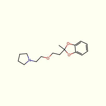 CC1(CCOCCN2CCCC2)Oc2ccccc2O1